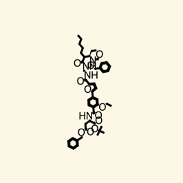 CCCCCC(C(=O)NCNC(=O)c1ccc(-c2ccc(C(=O)NC(CC(=O)OCc3ccccc3)C(=O)OC(C)(C)C)c(OCC)c2)o1)[C@@H](CC)N(C=O)OCc1ccccc1